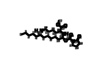 CCCCCCCCCCCC(N[C@@H](CCCCN)C(=O)OC)OC(=O)N1CCCC1=O